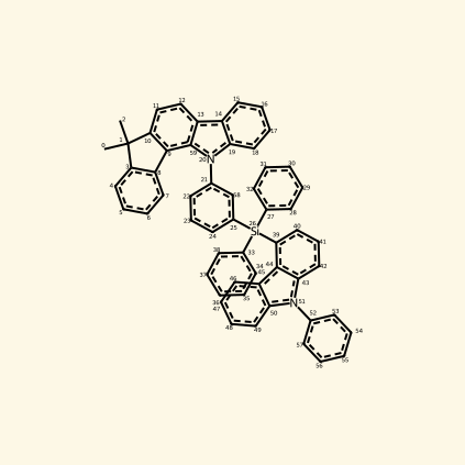 CC1(C)c2ccccc2-c2c1ccc1c3ccccc3n(-c3cccc([Si](c4ccccc4)(c4ccccc4)c4cccc5c4c4ccccc4n5-c4ccccc4)c3)c21